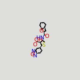 O=C(Nc1csc(-c2ccc3nonc3c2)c1C(=O)O)c1cc2ccccc2o1